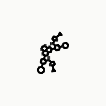 C1=NC2=NC(c3ccc(N4CCCCC4)cc3Nc3ccc(C4CC4)o3)=CC3=CC(c4ccc(C5CCCCCC5)cc4Nc4ccc(C5CC5)o4)=NC(=N1)N32